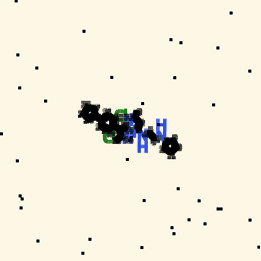 Cc1cc(NCCNC2CCCC2)n2nc(C)c(-c3c(Cl)cc(C4=CCCC4)cc3Cl)c2n1